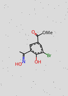 COC(=O)c1cc(Br)c(O)c(C(C)=NO)c1